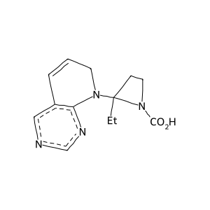 CCC1(N2CC=Cc3cncnc32)CCN1C(=O)O